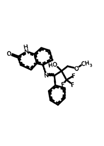 COCC(O)(/C(=N\c1cccc2[nH]c(=O)ccc12)c1ccccc1)C(F)(F)F